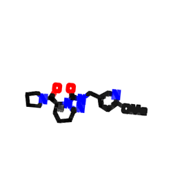 COc1ccc(Cn2nc3n(c2=O)[C@H](C(=O)N2CCCC2)CCC3)cn1